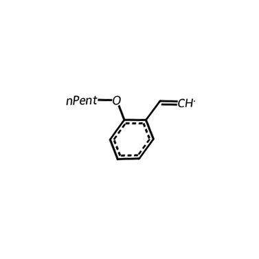 [CH]=Cc1ccccc1OCCCCC